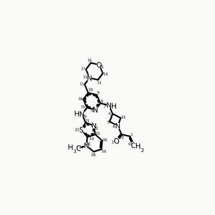 C=CC(=O)N1CC(Nc2cc(CN3CCOCC3)cc(Nc3nc4c(s3)N(C)CC=C4)n2)C1